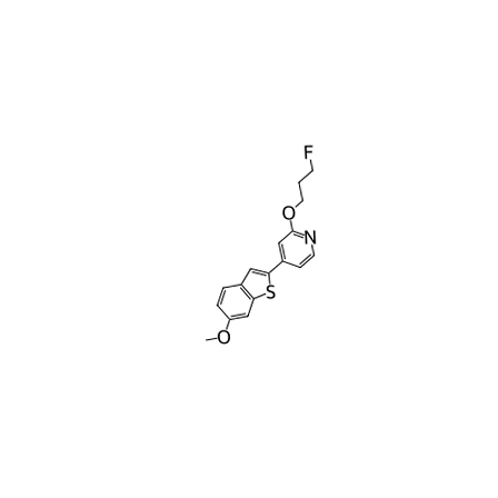 COc1ccc2cc(-c3ccnc(OCCCF)c3)sc2c1